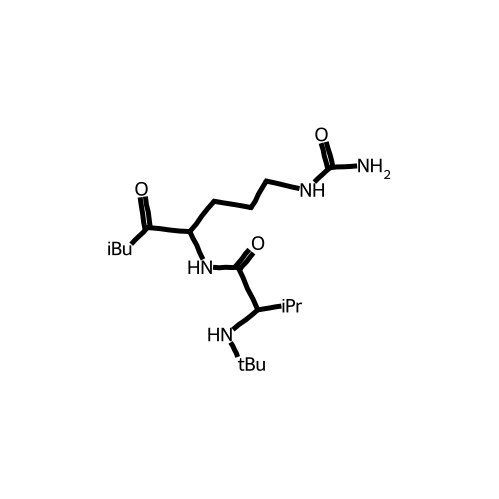 CCC(C)C(=O)C(CCCNC(N)=O)NC(=O)C(NC(C)(C)C)C(C)C